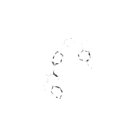 CN(C(=O)c1ccc(C[C@@H]2CC[C@H](C(O)c3ccc(Cl)nc3)N2)cc1)C1CCc2ncccc21